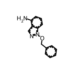 Nc1cccc2c1cnn2OCc1ccccc1